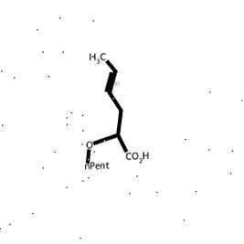 C/C=C/CC(OCCCCC)C(=O)O